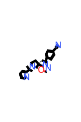 CC(C)(c1ccccn1)N1CC[C@@](CCc2ccc(C#N)cc2)(c2nnco2)C1